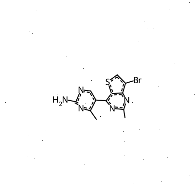 Cc1nc(-c2cnc(N)nc2C)c2scc(Br)c2n1